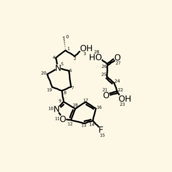 C[C@H](CO)CN1CCC(c2noc3cc(F)ccc23)CC1.O=C(O)C=CC(=O)O